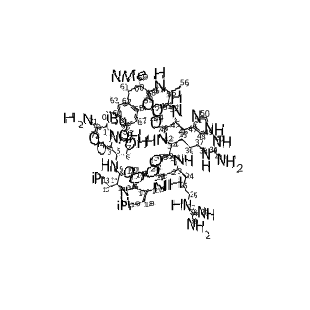 CC[C@H](C)[C@H](NC(=O)[C@H](CO)NC(=O)[C@H](CC(C)C)NC(=O)[C@H](CC(C)C)NC(=O)[C@H](CCCNC(=N)N)NC(=O)[C@H](CCCNC(=N)N)NC(=O)[C@H](Cc1c[nH]cn1)NC(=O)[C@H](C)NC(=O)[C@H](Cc1ccc(O)cc1)NC)C(N)=O